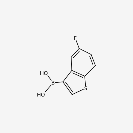 OB(O)c1csc2ccc(F)cc12